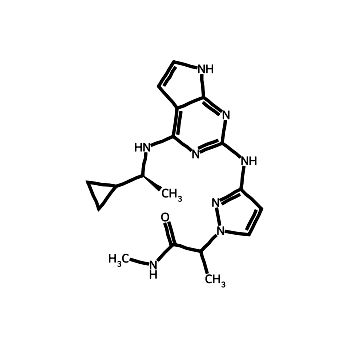 CNC(=O)C(C)n1ccc(Nc2nc(N[C@@H](C)C3CC3)c3cc[nH]c3n2)n1